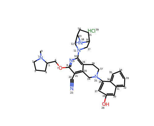 CN1CCCC1COc1nc(N2CC3CCC(C2)N3)c2c(c1C#N)CN(c1cc(O)cc3ccccc13)CC2.Cl